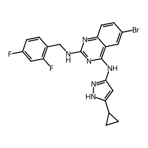 Fc1ccc(CNc2nc(Nc3cc(C4CC4)[nH]n3)c3cc(Br)ccc3n2)c(F)c1